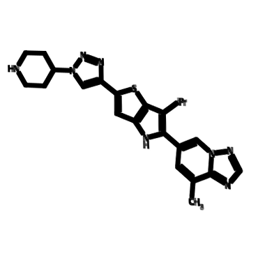 Cc1cc(-c2[nH]c3cc(-c4cn(C5CCNCC5)nn4)sc3c2C(C)C)cn2ncnc12